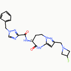 O=C(N[C@H]1CCn2nc(CN3CC(F)C3)cc2NC1=O)c1ncn(Cc2ccccc2)n1